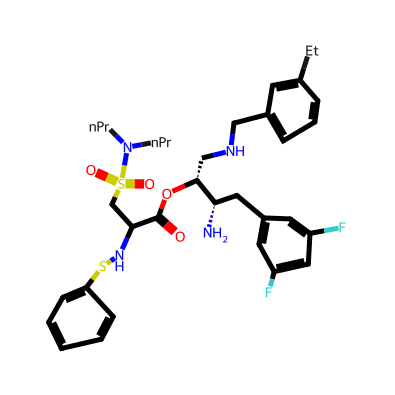 CCCN(CCC)S(=O)(=O)CC(NSc1ccccc1)C(=O)O[C@H](CNCc1cccc(CC)c1)[C@@H](N)Cc1cc(F)cc(F)c1